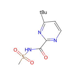 CC(C)(C)c1ccnc(C(=O)NS(C)(=O)=O)n1